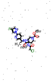 CCCCN(C(=O)CCl)C1(C(=O)N[C@@H](C)c2ccc(-n3cc(F)cn3)nc2)CCN(C(=O)OC(C)(C)C)CC1